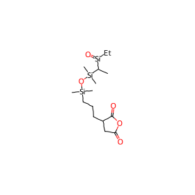 CC[Si](=O)C(C)[Si](C)(C)O[Si](C)(C)CCCC1CC(=O)OC1=O